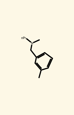 CCCN(C)Cc1cccc(C)c1